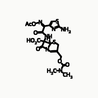 CC(=O)O/N=C(\C(=O)NC1(C(=O)O)C(=O)N2C=C(COC(=O)N(C)C)CS[C@H]21)c1csc(N)n1